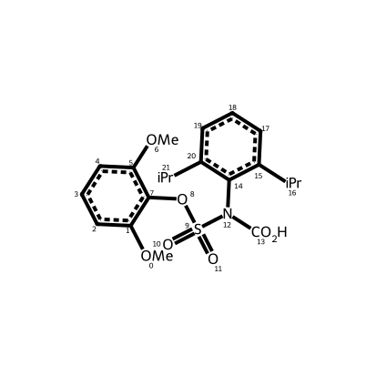 COc1cccc(OC)c1OS(=O)(=O)N(C(=O)O)c1c(C(C)C)cccc1C(C)C